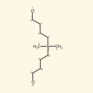 C[Si](C)(CCCCCl)CCCCCl